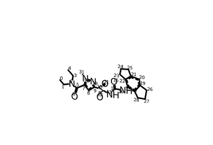 CCN(CC)C(=O)c1cc(S(=O)(=O)NC(=O)Nc2c3c(cc4c2CCC4)CCC3)nn1C